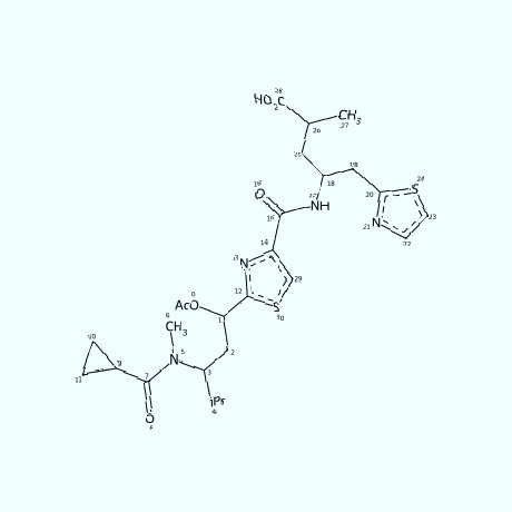 CC(=O)OC(CC(C(C)C)N(C)C(=O)C1CC1)c1nc(C(=O)NC(Cc2nccs2)CC(C)C(=O)O)cs1